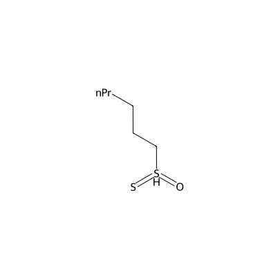 CCCCCC[SH](=O)=S